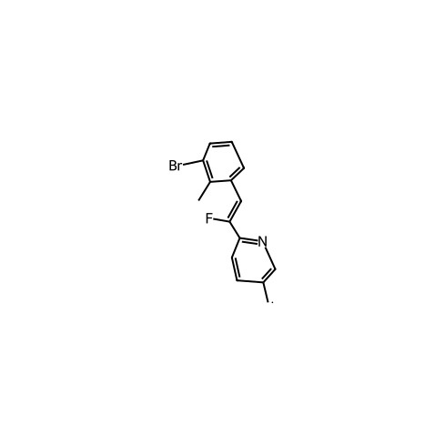 [CH2]c1ccc(C(F)=Cc2cccc(Br)c2C)nc1